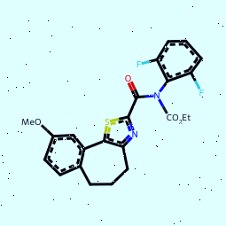 CCOC(=O)N(C(=O)c1nc2c(s1)-c1cc(OC)ccc1CCC2)c1c(F)cccc1F